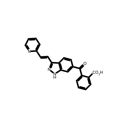 O=C(O)c1ccccc1C(=O)c1ccc2c(/C=C/c3ccccn3)n[nH]c2c1